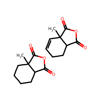 CC12C=CCCC1C(=O)OC2=O.CC12CCCCC1C(=O)OC2=O